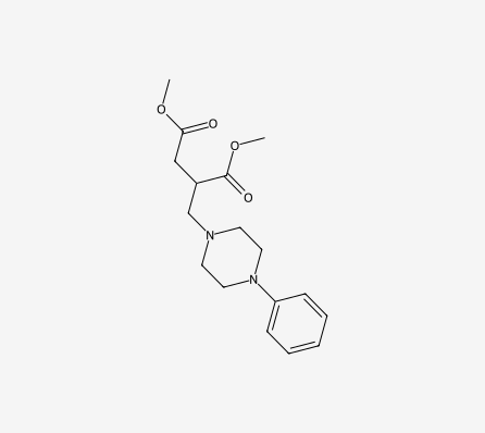 COC(=O)CC(CN1CCN(c2ccccc2)CC1)C(=O)OC